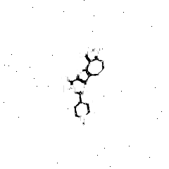 CN1CCC(c2nc3c4c(sc3c(=O)[nH]2)-c2c[nH]nc2CCC4)CC1